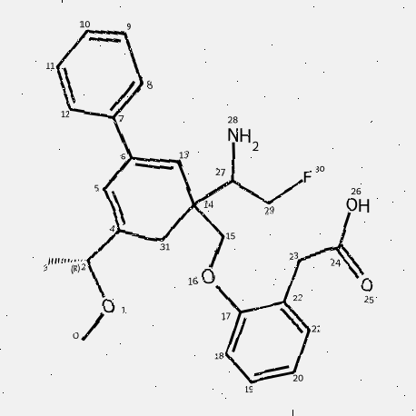 CO[C@H](C)C1=CC(c2ccccc2)=CC(COc2ccccc2CC(=O)O)(C(N)CF)C1